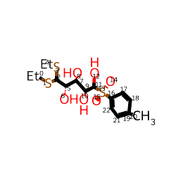 CCSC(SCC)[C@@H](O)[C@H](O)[C@H](O)C(O)S(=O)(=O)c1ccc(C)cc1